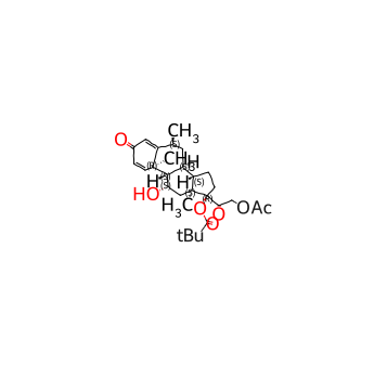 CC(=O)OCC(=O)[C@@]1(OC(=O)C(C)(C)C)CC[C@H]2[C@@H]3C[C@H](C)C4=CC(=O)C=C[C@]4(C)[C@H]3[C@@H](O)C[C@@]21C